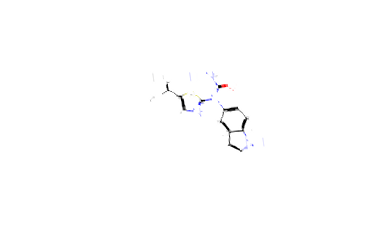 CC(C)c1cnc(N(C(N)=O)c2ccc3[nH]ccc3c2)s1